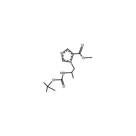 COC(=O)c1cncn1CC(C)NC(=O)OC(C)(C)C